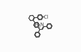 N/C(=C\C(c1ccccc1)c1ccc(C2=C(c3ccc(Cl)cc3)CCCC2)cc1)c1ccccc1